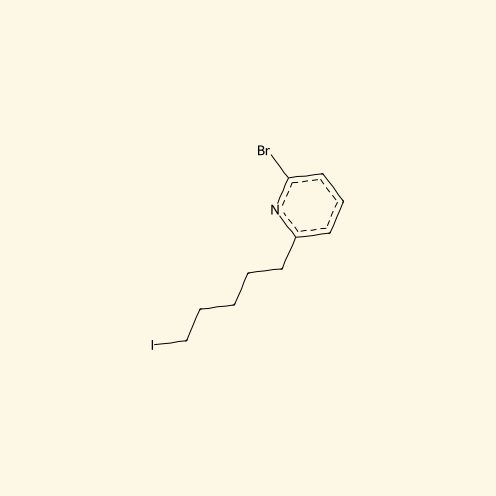 Brc1cccc(CCCCCI)n1